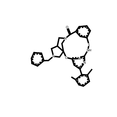 Cc1cccc(C)c1-c1cc2nc(n1)NSc1cccc(c1)C(=O)N1CC3CN(Cc4ccccc4)CC3(C1)O2